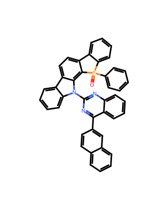 O=P1(c2ccccc2)c2ccccc2-c2ccc3c4ccccc4n(-c4nc(-c5ccc6ccccc6c5)c5ccccc5n4)c3c21